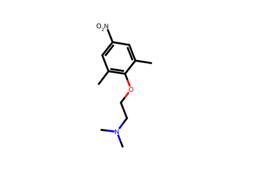 Cc1cc([N+](=O)[O-])cc(C)c1OCCN(C)C